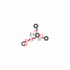 CCc1c(OCc2ccccc2)cc(OCc2ccccc2)c(Br)c1CCOCCOC1CCCCO1